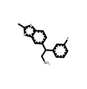 Cc1nc2cc(C(C[N+](=O)[O-])c3cccc(F)c3)ccc2s1